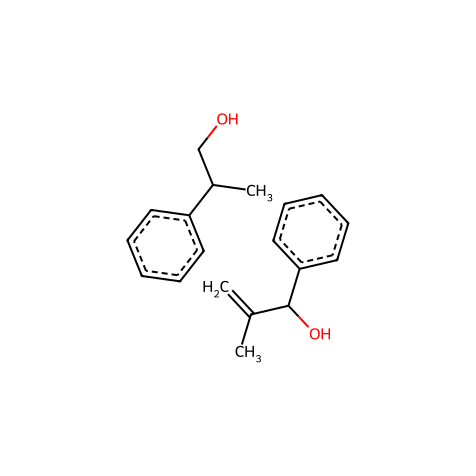 C=C(C)C(O)c1ccccc1.CC(CO)c1ccccc1